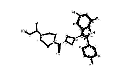 CC(CO)N1CCN(C(=O)[C@H]2C[C@H](c3c(-c4ccc(F)cc4)[nH]c4c(F)cc(F)cc43)C2)CC1